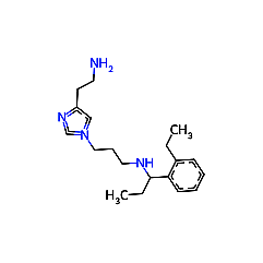 CCc1ccccc1C(CC)NCCCn1cnc(CCN)c1